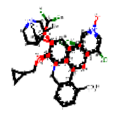 O=C(O)c1cccc(CN(C(=O)O[C@H]2CN3CCC2CC3)c2ccccc2F)c1[C@@H](Cc1c(Cl)c[n+]([O-])cc1Cl)c1ccc(OC(F)F)c(OCC2CC2)c1